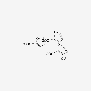 O=C([O-])c1ccco1.O=C([O-])c1ccco1.O=C([O-])c1ccco1.[Ga+3]